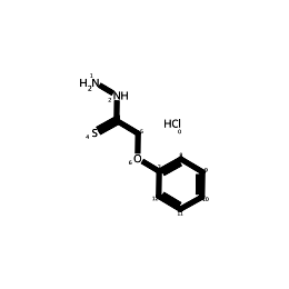 Cl.NNC(=S)COc1ccccc1